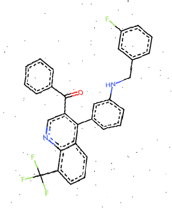 O=C(c1ccccc1)c1cnc2c(C(F)(F)F)cccc2c1-c1cccc(NCc2cccc(F)c2)c1